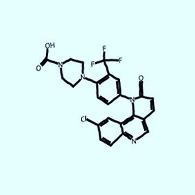 O=C(O)N1CCN(c2ccc(-n3c(=O)ccc4cnc5ccc(Cl)cc5c43)cc2C(F)(F)F)CC1